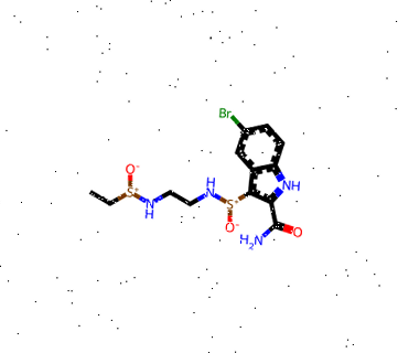 CC[S+]([O-])NCCN[S+]([O-])c1c(C(N)=O)[nH]c2ccc(Br)cc12